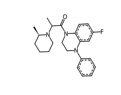 CC(C(=O)N1CCN(c2ccccc2)c2cc(F)ccc21)N1CCCC[C@H]1C